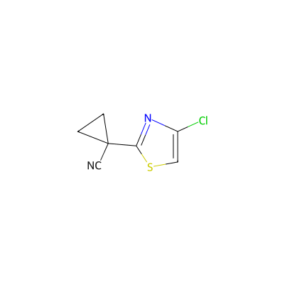 N#CC1(c2nc(Cl)cs2)CC1